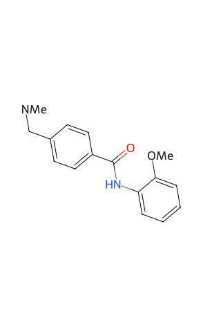 CNCc1ccc(C(=O)Nc2ccccc2OC)cc1